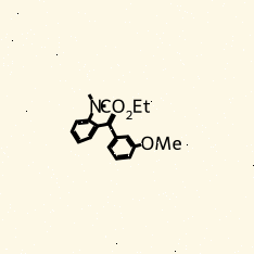 C=C(c1cccc(OC)c1)c1ccccc1N(C)C(=O)OCC